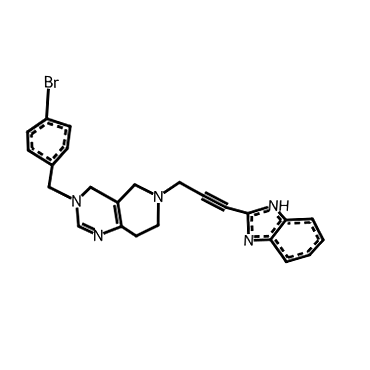 Brc1ccc(CN2C=NC3=C(C2)CN(CC#Cc2nc4ccccc4[nH]2)CC3)cc1